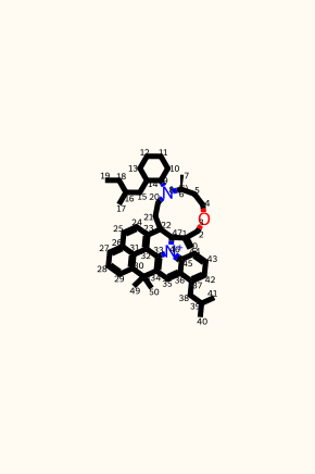 C=C1COCC[C@H](C)N(C2CCCCC2CC(C)CC)CCC2c3ccc4cccc5c4c3-c3c(cc4c(CC(C)C)cccc4[n+]3C12)C5(C)C